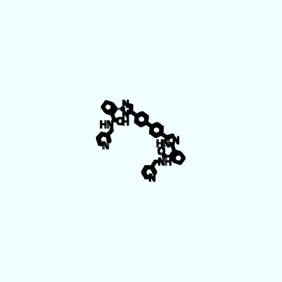 O=C(NCc1cccnc1)C1C2CCC(C2)[C@@H]1c1ncc(-c2ccc(-c3ccc(-c4cnc(C5C6CCC(C6)[C@H]5C(=O)NCc5cccnc5)[nH]4)cc3)cc2)[nH]1